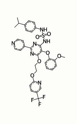 COc1ccccc1Oc1c(NS(=O)(=O)Nc2ccc(C(C)C)cc2)nc(-c2ccncc2)nc1OCCOc1ccc(C(F)(F)F)cn1